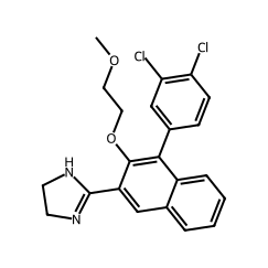 COCCOc1c(C2=NCCN2)cc2ccccc2c1-c1ccc(Cl)c(Cl)c1